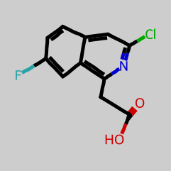 O=C(O)Cc1nc(Cl)cc2ccc(F)cc12